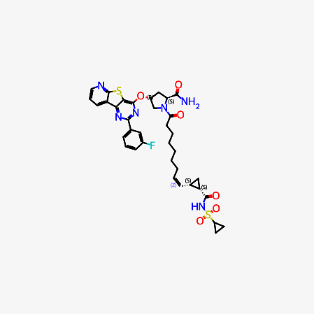 NC(=O)[C@@H]1C[C@@H](Oc2nc(-c3cccc(F)c3)nc3c2sc2ncccc23)CN1C(=O)CCCCCC/C=C\[C@@H]1C[C@@H]1C(=O)NS(=O)(=O)C1CC1